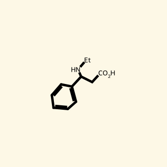 CCNC(CC(=O)O)c1ccccc1